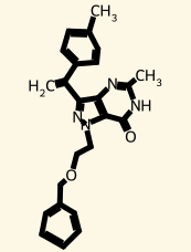 C=C(c1ccc(C)cc1)c1nn(CCOCc2ccccc2)c2c(=O)[nH]c(C)nc12